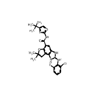 CC1(C)Cc2c3c(cc(C(=O)Nc4nc(C(C)(C)C)cs4)c2O1)NC(Nc1c(F)cccc1Cl)N3